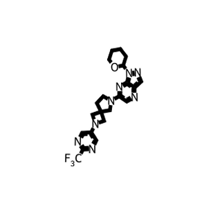 FC(F)(F)c1ncc(N2CC3(CCN(c4cnc5cnn(C6CCCCO6)c5n4)C3)C2)cn1